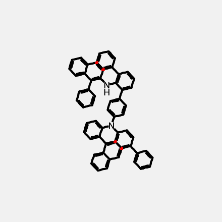 c1ccc(-c2ccc(N(c3ccc(-c4cccc(-c5ccccc5)c4Nc4ccc5ccccc5c4-c4ccccc4)cc3)c3ccccc3-c3cccc4ccccc34)cc2)cc1